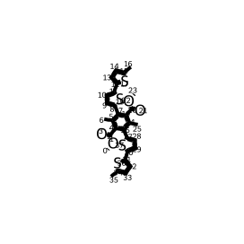 COC(=O)c1c(C)c(-c2ccc(-c3ccc(C)s3)s2)c(C(=O)OC)c(C)c1-c1ccc(-c2ccc(C)s2)s1